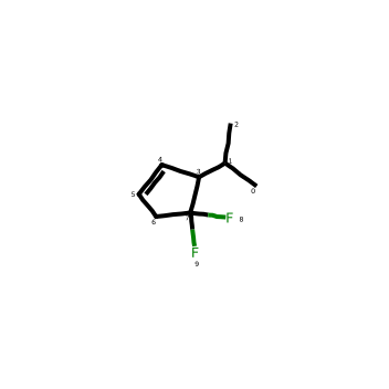 CC(C)C1C=CCC1(F)F